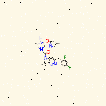 CC1CC(=O)N(C[C@H]2CN[C@H](C)CN2CC(=O)N2CC(C)(C)c3nnc(Cc4ccc(F)cc4F)cc32)C1